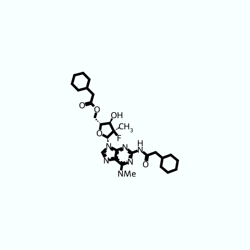 CNc1nc(NC(=O)CC2CCCCC2)nc2c1ncn2[C@@H]1O[C@H](COC(=O)CC2CCCCC2)[C@@H](O)[C@@]1(C)F